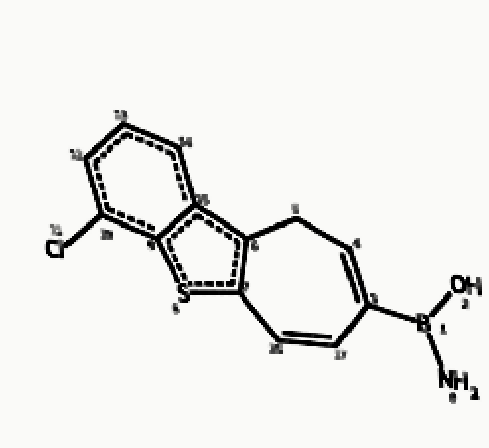 NB(O)C1=CCc2c(sc3c(Cl)cccc23)C=C1